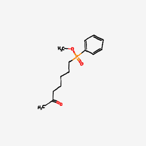 COP(=O)(CCCCCC(C)=O)c1ccccc1